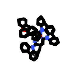 CCC1C=C(n2c3ccccc3c3ccc4c5ccccc5n(-c5cccc(-c6ccccc6)c5)c4c32)NC(c2ccc3c4c(oc3c2)C=CCC4)N=C1n1c2ccccc2c2ccccc21